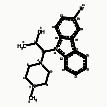 CC(O)C(N1CCN(C)CC1)n1c2ccccc2c2cc(Br)ccc21